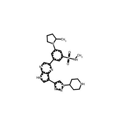 CNS(=O)(=O)c1cc(-c2cnc3[nH]cc(-c4cn(C5CCNCC5)nn4)c3n2)cc(N2CCCC2C)c1